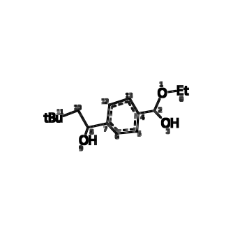 CCOC(O)c1ccc(C(O)CC(C)(C)C)cc1